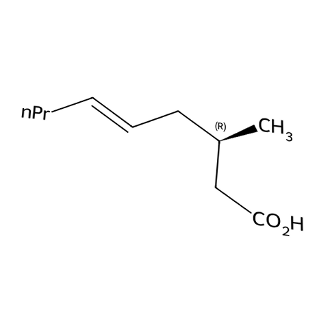 CCCC=CC[C@@H](C)CC(=O)O